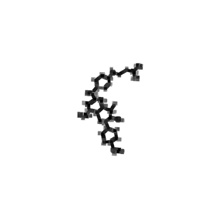 CCN(CC)CCOc1ccc(Nc2nc(N)c3cc(-c4ccc(OC)cc4)c(=O)n(C)c3n2)cc1